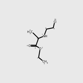 CCOC(=O)C(C)NCCCl